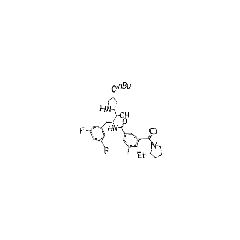 CCCCO[C@H]1CN[C@@H]([C@@H](O)[C@H](Cc2cc(F)cc(F)c2)NC(=O)c2cc(C)cc(C(=O)N3CCC[C@@H]3CC)c2)C1